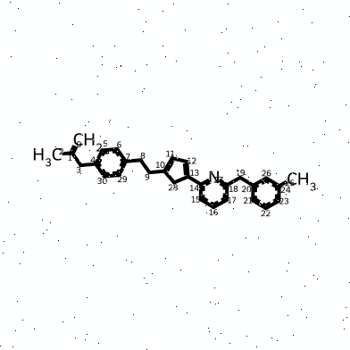 C=C(C)Cc1ccc(CCC2=CC=C(c3cccc(Cc4cccc(C)c4)n3)C2)cc1